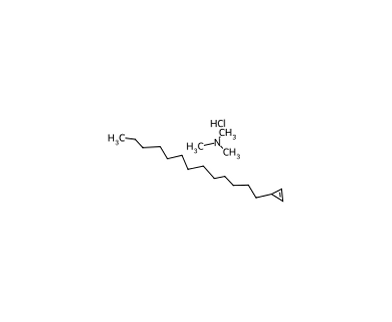 CCCCCCCCCCCCCC1C=C1.CN(C)C.Cl